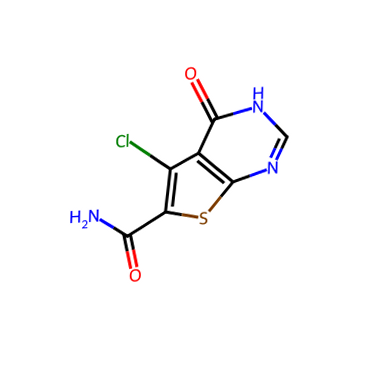 NC(=O)c1sc2nc[nH]c(=O)c2c1Cl